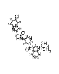 CC(C)n1cc(C(=O)c2cncc(NC(=O)Cc3cn4cc(Cl)ccc4n3)c2)c2cncnc21